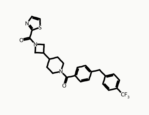 O=C(c1ccc(Cc2ccc(C(F)(F)F)cc2)cc1)N1CCC(C2CN(C(=O)c3nccs3)C2)CC1